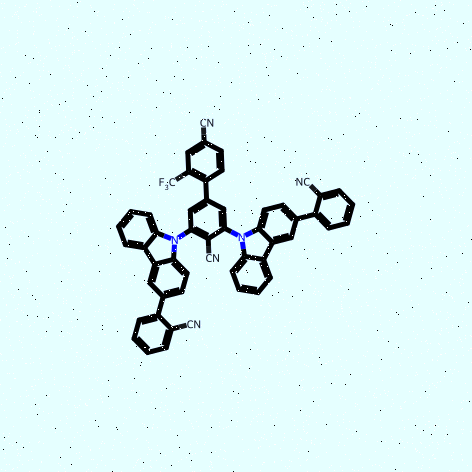 N#Cc1ccc(-c2cc(-n3c4ccccc4c4cc(-c5ccccc5C#N)ccc43)c(C#N)c(-n3c4ccccc4c4cc(-c5ccccc5C#N)ccc43)c2)c(C(F)(F)F)c1